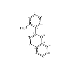 Oc1ccccc1C1=NCc2ccccc2O1